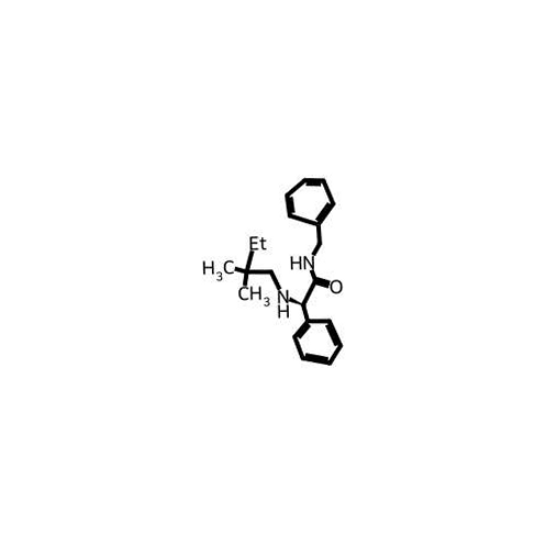 CCC(C)(C)CN[C@@H](C(=O)NCc1ccccc1)c1ccccc1